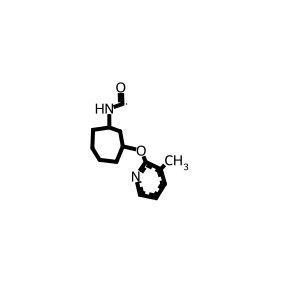 Cc1cccnc1OC1CCCCC(N[C]=O)C1